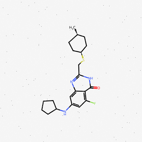 C[C@H]1CC[C@@H](SCc2nc3cc(NC4CCCC4)cc(F)c3c(=O)[nH]2)CC1